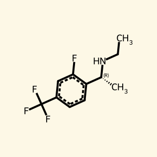 CCN[C@H](C)c1ccc(C(F)(F)F)cc1F